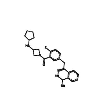 O=C(c1cc(CC2=NNC(O)c3ccccc32)ccc1F)N1CC(NC2CCCC2)C1